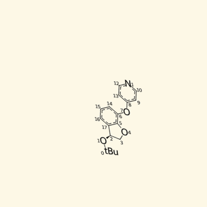 CC(C)(C)O[C@@H]1COc2c(Oc3ccncc3)cccc21